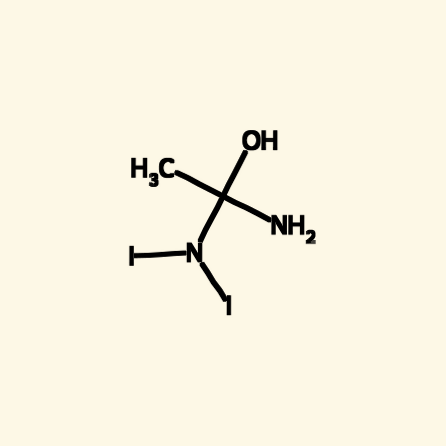 CC(N)(O)N(I)I